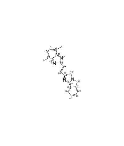 Cc1ncc(C)n2nc(/C=C/c3cn4c(n3)-c3ccccc3C4)nc12